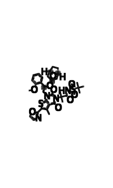 COc1ccccc1[C@H](Cn1c(=O)n(C(C)(C)C(=O)NS(=O)(=O)C(C)(C)C)c(=O)c2c(C)c(-c3ncco3)sc21)O[C@@H]1C[C@H]2CC[C@@H](C1)O2